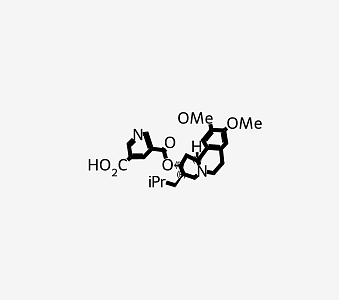 COc1cc2c(cc1OC)[C@H]1C[C@@H](OC(=O)c3cncc(C(=O)O)c3)[C@H](CC(C)C)CN1CC2